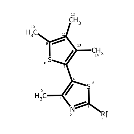 Cc1n[c]([Rf])sc1-c1sc(C)c(C)c1C